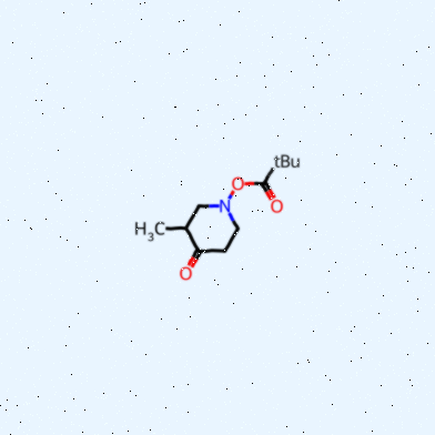 CC1CN(OC(=O)C(C)(C)C)CCC1=O